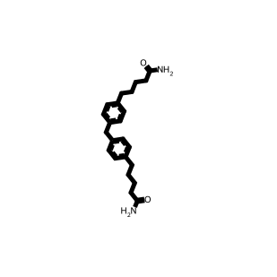 NC(=O)CCCCc1ccc(Cc2ccc(CCCCC(N)=O)cc2)cc1